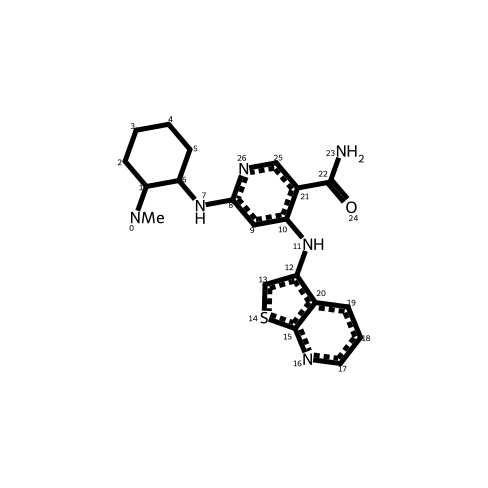 CNC1CCCCC1Nc1cc(Nc2csc3ncccc23)c(C(N)=O)cn1